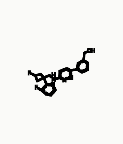 OCc1cccc(-c2ccc(NCC3(c4ncccc4F)CC(F)C3)nn2)c1